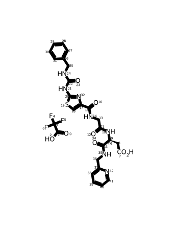 O=C(O)C(F)(F)F.O=C(O)C[C@H](NC(=O)CNC(=O)c1csc(NC(=O)NCc2ccccc2)n1)C(=O)NCc1ccccn1